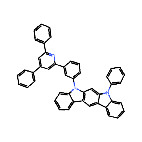 c1ccc(-c2cc(-c3ccccc3)nc(-c3cccc(-n4c5ccccc5c5cc6c7ccccc7n(-c7ccccc7)c6cc54)c3)c2)cc1